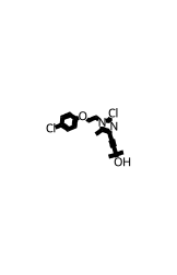 Cc1c(C#CC(C)(C)O)nc(Cl)n1CCOc1ccc(Cl)cc1